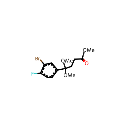 COC(=O)CCC(OC)(OC)c1ccc(F)c(Br)c1